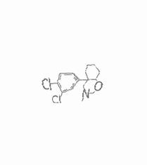 CN1COC2CCCCC2(c2ccc(Cl)c(Cl)c2)C1